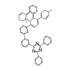 CC1C=CC(C2=CC=C(c3cccc(-c4cccc(-c5nc(-c6ccccc6)nc(-c6ccccc6)n5)c4)c3)C3C2=c2ccccc2=C2C=CCCC23C)=CC1